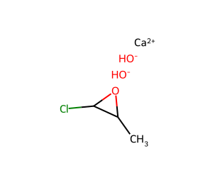 CC1OC1Cl.[Ca+2].[OH-].[OH-]